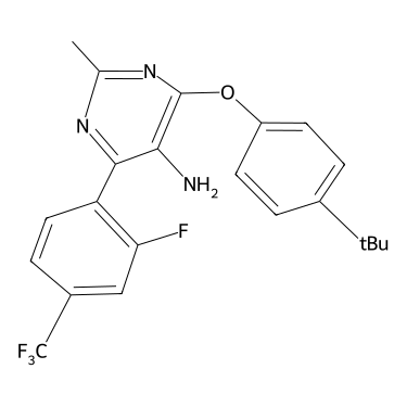 Cc1nc(Oc2ccc(C(C)(C)C)cc2)c(N)c(-c2ccc(C(F)(F)F)cc2F)n1